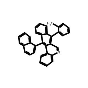 Cc1ccccc1-c1c2ccccc2c(-c2cccc3ccccc23)c2c1cnc1ccccc12